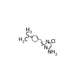 C=C(C)[C@@H]1CC=C(CSc2nc(N)cc(Cl)n2)CC1